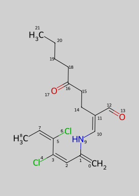 C=C(/C=C(Cl)\C(Cl)=C/C)N/C=C(/C=O)CCC(=O)CCCC